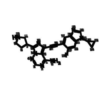 Nc1ncnn2c(C3CCNC3)nc(C#Cc3cc4ncn(C5CC5)c4cc3F)c12